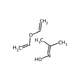 C=COC=C.CC(C)=NO